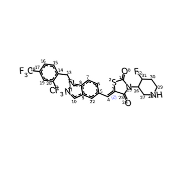 O=C1S/C(=C\c2ccc3c(cnn3Cc3ccc(C(F)(F)F)cc3C(F)(F)F)c2)C(=O)N1C1CNCCC1F